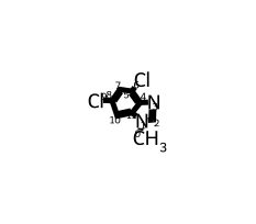 Cn1cnc2c(Cl)cc(Cl)cc21